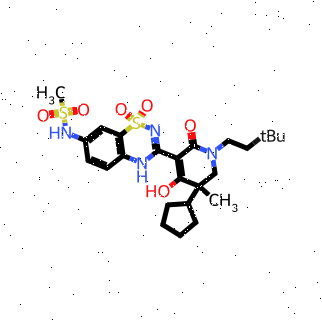 CC(C)(C)CCN1CC(C)(C2CCCC2)C(O)=C(C2=NS(=O)(=O)c3cc(NS(C)(=O)=O)ccc3N2)C1=O